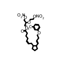 O=C(CCC/C=C\CC1CCCC1/C=C/CCOc1cccc(C(F)(F)F)c1)OCC(CO[N+](=O)[O-])OCCO[N+](=O)[O-]